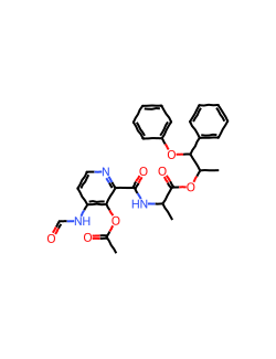 CC(=O)Oc1c(NC=O)ccnc1C(=O)NC(C)C(=O)OC(C)C(Oc1ccccc1)c1ccccc1